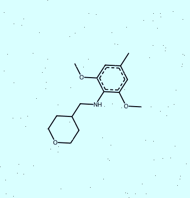 COc1cc(C)cc(OC)c1NCC1CCOCC1